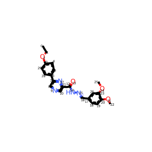 CCOc1ccc(-c2cncc(C(=O)N/N=C/c3ccc(OC)c(OC)c3)n2)cc1